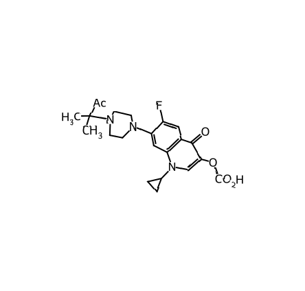 CC(=O)C(C)(C)N1CCN(c2cc3c(cc2F)c(=O)c(OC(=O)O)cn3C2CC2)CC1